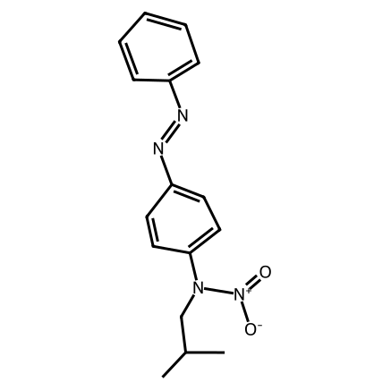 CC(C)CN(c1ccc(N=Nc2ccccc2)cc1)[N+](=O)[O-]